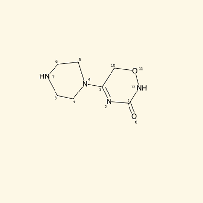 O=C1N=C(N2CCNCC2)CON1